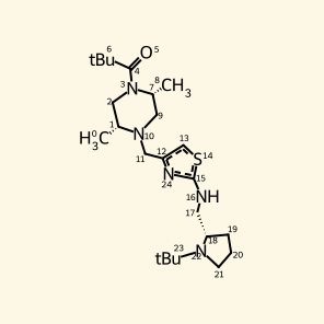 C[C@@H]1CN(C(=O)C(C)(C)C)[C@H](C)CN1Cc1csc(NC[C@@H]2CCCN2C(C)(C)C)n1